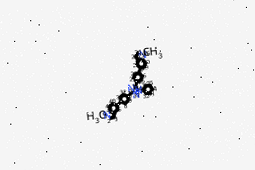 Cn1ccc2cc(-c3ccc(-c4nc(-c5ccc(-c6ccc7c(ccn7C)c6)cc5)n(-c5ccccc5)n4)cc3)ccc21